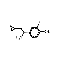 Cc1ccc([C@@H](N)CC2CC2)cc1F